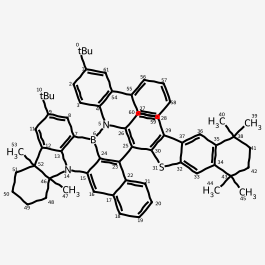 CC(C)(C)c1ccc(N2B3c4cc(C(C)(C)C)cc5c4N(c4cc6ccccc6c(c43)-c3c2ccc2c3sc3cc4c(cc32)C(C)(C)CCC4(C)C)C2(C)CCCCC52C)c(-c2ccccc2)c1